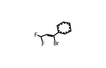 FC(F)C=C(Br)c1ccccc1